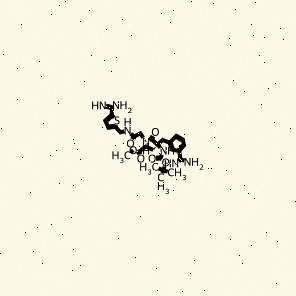 COC(=O)CC[C@](Cc1cccc(C(=N)N)c1)(NC(=O)OC(C)(C)C)C(=O)NCC(=O)NCc1ccc(C(=N)N)s1